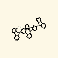 N#Cc1ccc(-n2c3ccccc3c3cccc(C#N)c32)cc1-c1ccccc1-n1c2ccccc2c2cc(-n3c4ccccc4c4ccccc43)ccc21